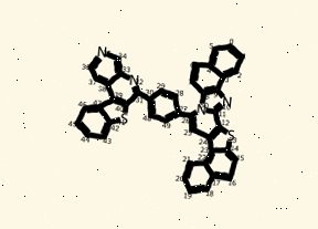 c1ccc2c(c1)ccc1c2nc2c3sc4ccc5ccccc5c4c3cc(-c3ccc(-c4nc5cnccc5c5c4sc4ccccc45)cc3)n12